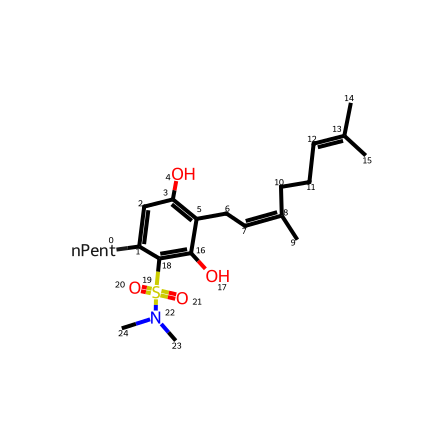 CCCCCc1cc(O)c(CC=C(C)CCC=C(C)C)c(O)c1S(=O)(=O)N(C)C